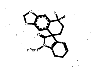 CCCCCN1C(=O)C2(CCC(F)(F)c3cc4c(cc32)OCO4)C2=C1CCC=C2